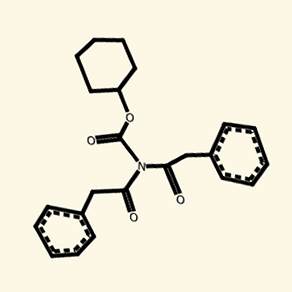 O=C(Cc1ccccc1)N(C(=O)Cc1ccccc1)C(=O)OC1CCCCC1